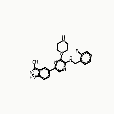 Cc1n[nH]c2ccc(-c3cnc(NCc4ccccc4F)c(N4CCNCC4)n3)cc12